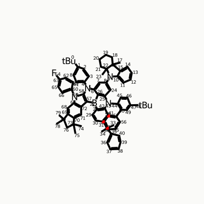 CC(C)(C)c1ccc(N2c3cc(N4c5ccccc5C5(C)CCCCC45C)cc4c3B(c3ccc(C(C)(C)c5ccccc5)cc3N4c3ccc(C(C)(C)C)cc3-c3ccccc3)c3c2n(-c2ccc(F)cc2)c2cc4c(cc32)C(C)(C)CC4(C)C)cc1